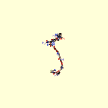 C=C(C)[C@H](NC(=O)CCOCCOCCOCCn1cc(CCCCCC(=O)NCCOCCOCCN2CCN(CCCOc3ccc4nccc(C(=O)NCC(=O)N5CC(F)(F)CC5C#N)c4c3)CC2)nn1)C(=O)N[C@@H](CCCNC(N)=O)C(=O)Nc1ccc(COC(=O)N(CC)Cc2nc3c(n2CC(C)(C)O)-c2ccccc2NC3N)cc1